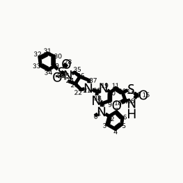 CN(c1ccccc1)c1cc(C=C2SC(=O)NC2=O)nc(N2CC3CN(S(=O)(=O)c4ccccc4)CC3C2)n1